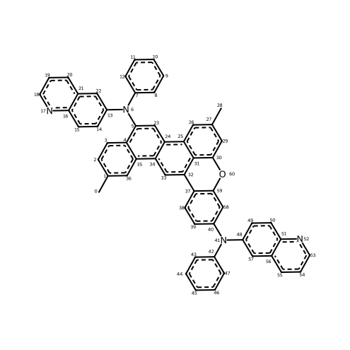 Cc1ccc2c(N(c3ccccc3)c3ccc4ncccc4c3)cc3c4cc(C)cc5c4c(cc3c2c1)-c1ccc(N(c2ccccc2)c2ccc3ncccc3c2)cc1O5